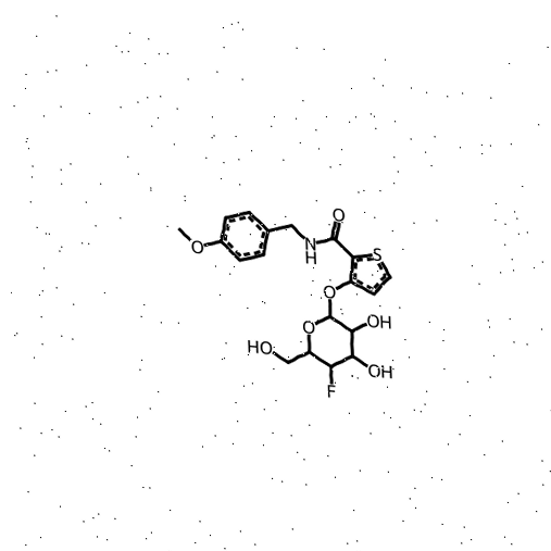 COc1ccc(CNC(=O)c2sccc2OC2OC(CO)C(F)C(O)C2O)cc1